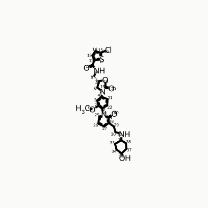 COc1cc(N2C[C@H](CNC(=O)c3ccc(Cl)s3)OC2=O)ccc1-n1cccc(CCNC2CCC(O)CC2)c1=O